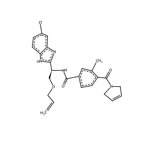 C=CCOC[C@H](NC(=O)c1ccc(C(=O)N2CC=CC2)c(C)c1)c1nc2cc(Cl)ccc2[nH]1